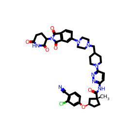 C[C@@]1(C(=O)Nc2ccc(N3CCC(CN4CCN(c5ccc6c(c5)C(=O)N(C5CCC(=O)NC5=O)C6=O)CC4)CC3)nn2)CC[C@@H](Oc2ccc(C#N)c(Cl)c2)C1